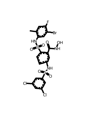 Cc1cc(F)c(Br)cc1NS(=O)(=O)c1ccc(NS(=O)(=O)c2cc(Cl)cc(Cl)c2)cc1C(=O)NO